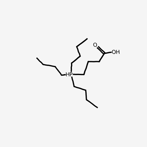 CCCC[PH](CCCC)(CCCC)CCCC(=O)O